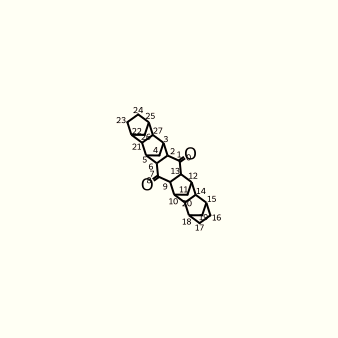 O=C1C2C3CC(C2C(=O)C2C4CC(C12)C1C2CCC(C2)C41)C1C2CCC(C2)C31